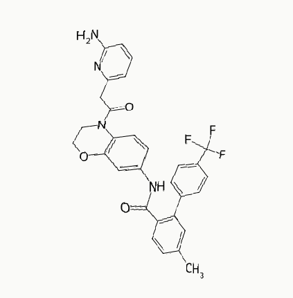 Cc1ccc(C(=O)Nc2ccc3c(c2)OCCN3C(=O)Cc2cccc(N)n2)c(-c2ccc(C(F)(F)F)cc2)c1